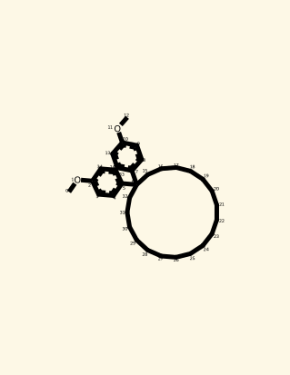 COc1ccc(C2(c3ccc(OC)cc3)CCCCCCCCCCCCCCCCCC2)cc1